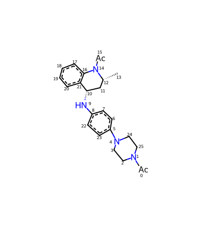 CC(=O)N1CCN(c2ccc(N[C@H]3C[C@@H](C)N(C(C)=O)c4ccccc43)cc2)CC1